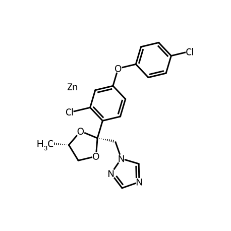 C[C@H]1CO[C@](Cn2cncn2)(c2ccc(Oc3ccc(Cl)cc3)cc2Cl)O1.[Zn]